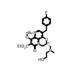 CCCCOc1c(C(=O)OCC)c(=O)n2c3c(c(Cc4ccc(F)cc4)cnc13)O[C@H](CN(C)CCO)C2